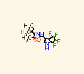 CC[C@H](C)[C@H](NC(=O)Cc1c[nH]c2c(F)c(F)c(F)c(F)c12)C(C)=O